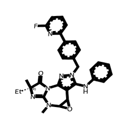 CC[C@@]1(C)N=C2N(C1=O)c1nn(Cc3ccc(-c4cccc(F)n4)cc3)c(Nc3ccccc3)c1C1OC1N2C